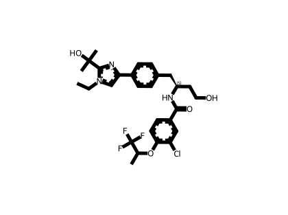 CCn1cc(-c2ccc(C[C@@H](CCO)NC(=O)c3ccc(OC(C)C(F)(F)F)c(Cl)c3)cc2)nc1C(C)(C)O